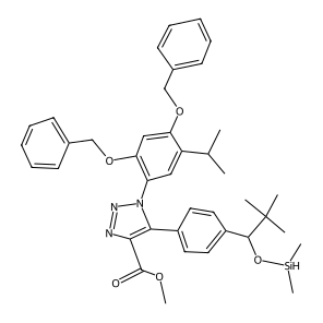 COC(=O)c1nnn(-c2cc(C(C)C)c(OCc3ccccc3)cc2OCc2ccccc2)c1-c1ccc(C(O[SiH](C)C)C(C)(C)C)cc1